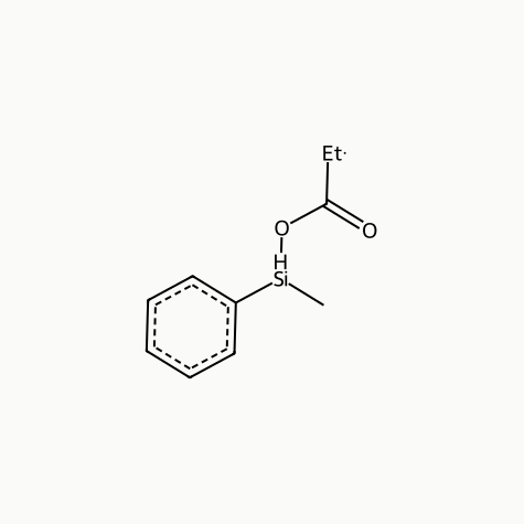 C[CH]C(=O)O[SiH](C)c1ccccc1